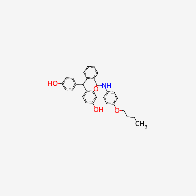 CCCCOc1ccc(NC(=O)c2ccccc2C(c2ccc(O)cc2)c2ccc(O)cc2)cc1